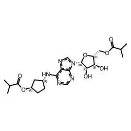 CC(C)C(=O)OC[C@H]1O[C@@H](n2cnc3c(N[C@@H]4CC[C@@H](OC(=O)C(C)C)C4)ncnc32)[C@H](O)[C@@H]1O